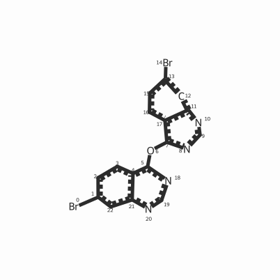 Brc1ccc2c(Oc3ncnc4cc(Br)ccc34)ncnc2c1